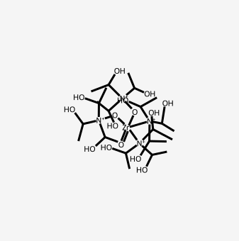 CC(O)[N+]([O][Zr](=[O])([O][N+](C(C)O)(C(C)O)C(C)O)([N+](C(C)O)(C(C)O)C(C)O)[N+](C(C)O)(C(C)O)C(C)O)(C(C)O)C(C)O